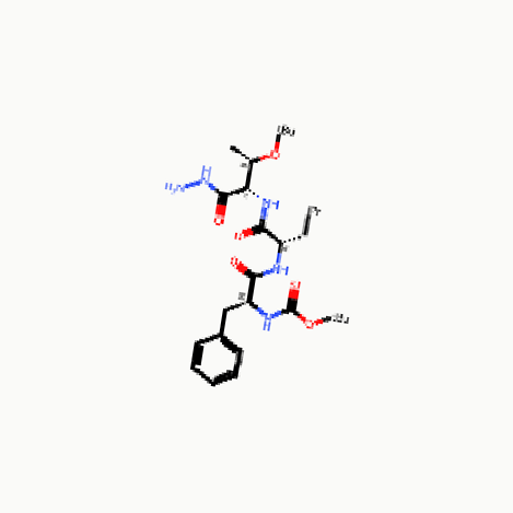 CC(C)C[C@H](NC(=O)[C@H](Cc1ccccc1)NC(=O)OC(C)(C)C)C(=O)N[C@H](C(=O)NN)[C@@H](C)OC(C)(C)C